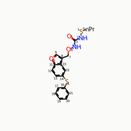 CCCSNC(=O)NOCc1coc2ccc(Sc3ccccc3)cc12